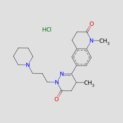 CC1CC(=O)N(CCCN2CCCCC2)N=C1c1ccc2c(c1)CCC(=O)N2C.Cl